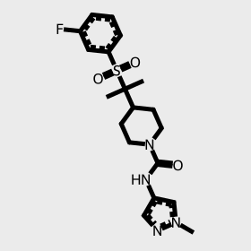 Cn1cc(NC(=O)N2CCC(C(C)(C)S(=O)(=O)c3cccc(F)c3)CC2)cn1